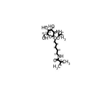 CC(=O)N[C@H]1[C@H](OCCCCCNC(=O)C(C)C)O[C@H](CO)[C@H](O)[C@@H]1O